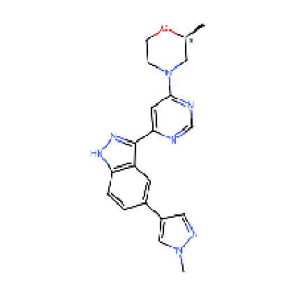 C[C@H]1CN(c2cc(-c3n[nH]c4ccc(-c5cnn(C)c5)cc34)ncn2)CCO1